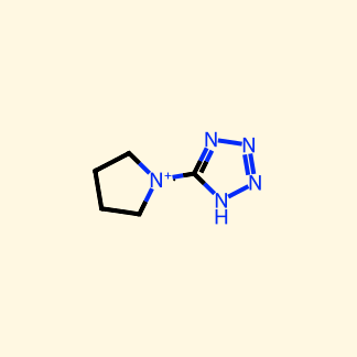 C1CC[N+](c2nnn[nH]2)C1